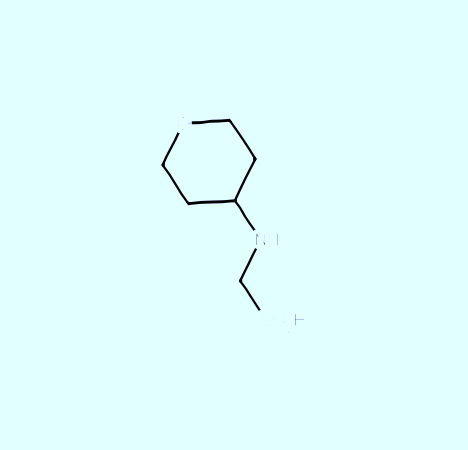 O=C(O)CNC1CCOCC1